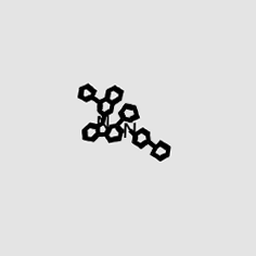 C1=CCC(c2ccc(-n3c4ccccc4c4c3ccc3c5ccccc5n(-c5cc(-c6ccccc6)c6ccccc6c5)c34)cc2)C=C1